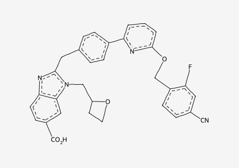 N#Cc1ccc(COc2cccc(-c3ccc(Cc4nc5ccc(C(=O)O)cc5n4CC4CCO4)cc3)n2)c(F)c1